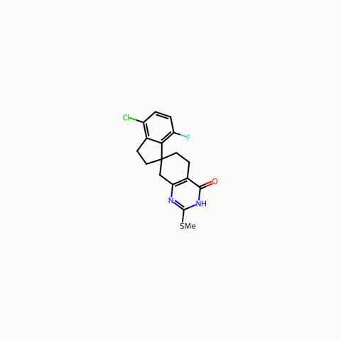 CSc1nc2c(c(=O)[nH]1)CCC1(CCc3c(Cl)ccc(F)c31)C2